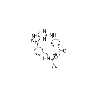 O=C(O)c1ccc(Nc2ncc3nnn(-c4cccc(CNC(=O)C5CC5)c4)c3n2)cc1